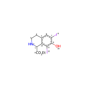 CCOC(=O)C1NCCc2cc(I)c(O)c(I)c21